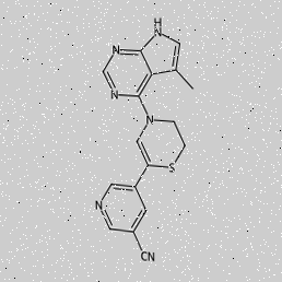 Cc1c[nH]c2ncnc(N3C=C(c4cncc(C#N)c4)SCC3)c12